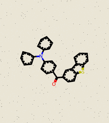 O=C(c1ccc(N(c2ccccc2)c2ccccc2)cc1)c1ccc2sc3ccccc3c2c1